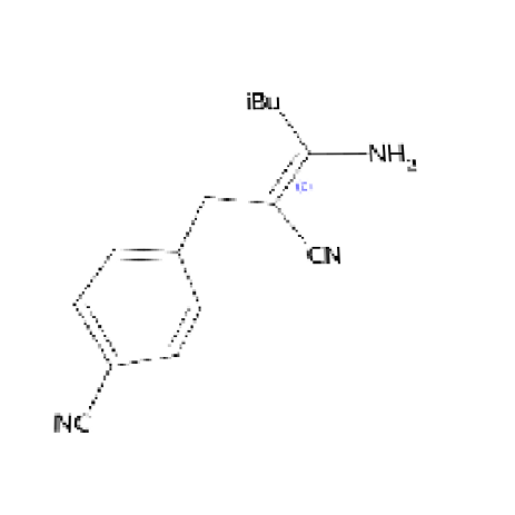 CCC(C)/C(N)=C(/C#N)Cc1ccc(C#N)cc1